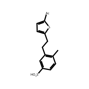 CC(=O)c1ccc(CCc2cc(S(=O)(=O)O)ccc2C)s1